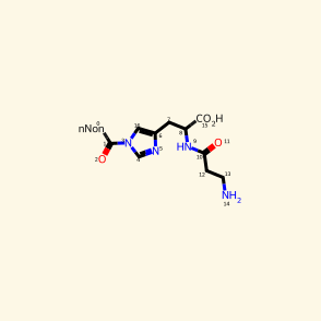 CCCCCCCCCC(=O)n1cnc(CC(NC(=O)CCN)C(=O)O)c1